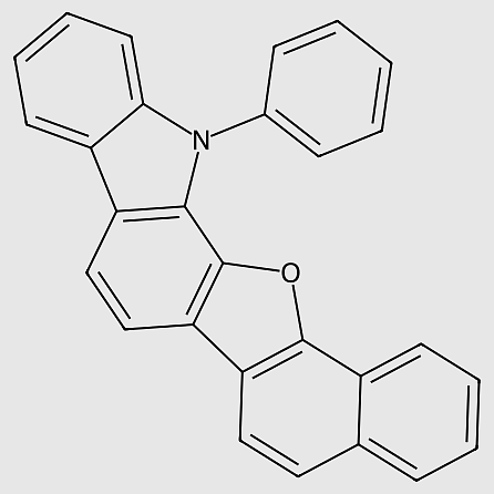 c1ccc(-n2c3ccccc3c3ccc4c5ccc6ccccc6c5oc4c32)cc1